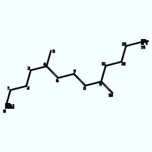 [CH2]CC(C)CCCC(C)CCCC(C)CCCC(C)C